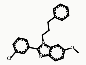 COc1ccc2nc(-c3cccc(Cl)c3)n(CCCc3ccccc3)c2c1